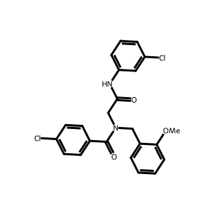 COc1ccccc1CN(CC(=O)Nc1cccc(Cl)c1)C(=O)c1ccc(Cl)cc1